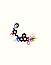 COc1cc(CN2CCCCC2)ccc1/C=C/c1n[nH]c2cc(/C=C3/C(=O)N(OC(=O)C(F)(F)F)CC3c3ccccc3)ccc12